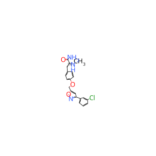 CN[C@@H](Cc1ccc(OCc2cc(-c3cccc(Cl)c3)no2)cc1)C(N)=O